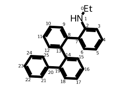 CCNc1ccccc1-c1ccccc1-c1ccccc1-c1ccccc1